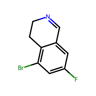 Fc1cc(Br)c2c(c1)C=NCC2